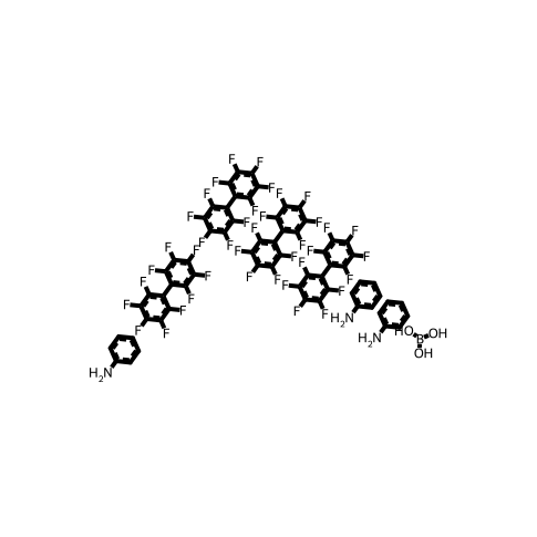 Fc1c(F)c(F)c(-c2c(F)c(F)c(F)c(F)c2F)c(F)c1F.Fc1c(F)c(F)c(-c2c(F)c(F)c(F)c(F)c2F)c(F)c1F.Fc1c(F)c(F)c(-c2c(F)c(F)c(F)c(F)c2F)c(F)c1F.Fc1c(F)c(F)c(-c2c(F)c(F)c(F)c(F)c2F)c(F)c1F.Nc1ccccc1.Nc1ccccc1.Nc1ccccc1.OB(O)O